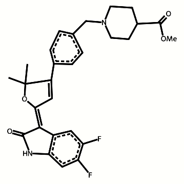 COC(=O)C1CCN(Cc2ccc(C3=CC(=C4C(=O)Nc5cc(F)c(F)cc54)OC3(C)C)cc2)CC1